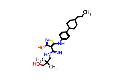 CCCC1CCC(c2ccc(Nc3snc(O)c3C(=N)NCC(C)(C)CO)cc2)CC1